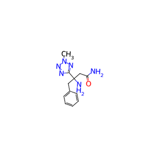 Cn1nnc(C(N)(CC(N)=O)Cc2ccccc2)n1